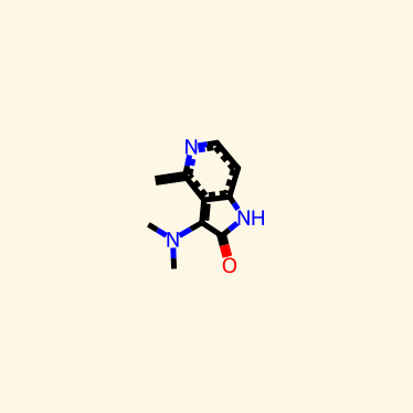 C=c1nccc2c1=C(N(C)C)C(=O)N2